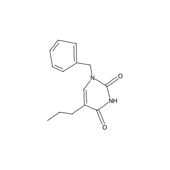 CCCc1cn(Cc2ccccc2)c(=O)[nH]c1=O